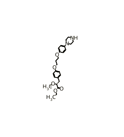 CCOC(=O)[C@H](Cc1ccc(OCCCOc2ccc(N3CCNCC3)cc2)cc1)OC